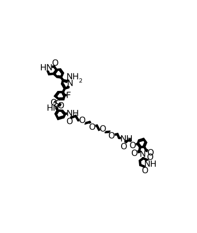 Nc1ncc(-c2ccc(S(=O)(=O)Nc3cccc(NC(=O)CCOCCOCCOCCOCCNC(=O)COc4cccc5c4C(=O)N(C4CCC(=O)NC4=O)C5=O)c3)cc2F)cc1-c1ccc2c(c1)CCNC2=O